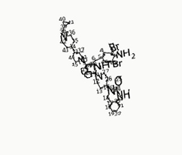 Nc1c(Br)cc(C[C@@H](NC(=O)N2CCC(N3Cc4ccccc4NC3=O)CC2)C(=O)N2CCC(C3CCN(CC4CC4)CC3)CC2)cc1Br